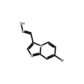 O/N=C/c1cnc2cc(Br)ccn12